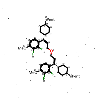 CCCCC[C@H]1CC[C@H](C(=CCOCC=C(c2ccc(OC)c(F)c2F)[C@H]2CC[C@H](CCCCC)CC2)c2ccc(OC)c(F)c2F)CC1